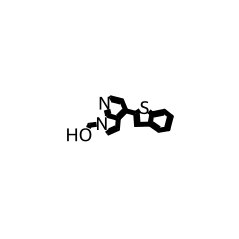 OCn1ccc2c(-c3cc4ccccc4s3)ccnc21